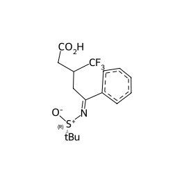 CC(C)(C)[S@+]([O-])N=C(CC(CC(=O)O)C(F)(F)F)c1ccccc1